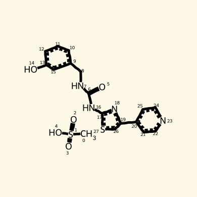 CS(=O)(=O)O.O=C(NCc1cccc(O)c1)Nc1nc(-c2ccncc2)cs1